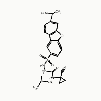 CC(C)C[C@H](NS(=O)(=O)c1ccc2oc3cc(C(C)O)ccc3c2c1)C(=O)NC1(C#N)CC1